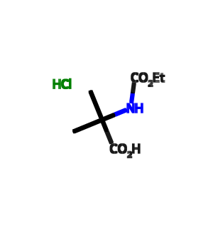 CCOC(=O)NC(C)(C)C(=O)O.Cl